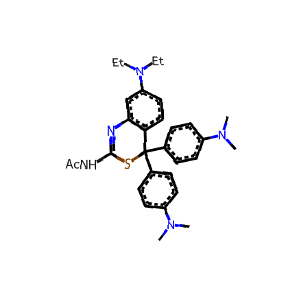 CCN(CC)c1ccc2c(c1)N=C(NC(C)=O)SC2(c1ccc(N(C)C)cc1)c1ccc(N(C)C)cc1